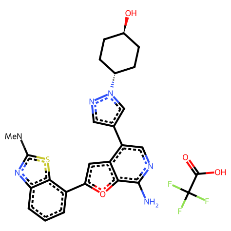 CNc1nc2cccc(-c3cc4c(-c5cnn([C@H]6CC[C@H](O)CC6)c5)cnc(N)c4o3)c2s1.O=C(O)C(F)(F)F